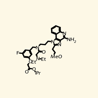 CCN(CC)CC(=O)N(CCCn1c(CCOC)nc2c(N)nc3ccccc3c21)Cc1cc(F)cc(OCC(=O)OC(C)C)c1